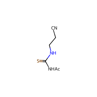 CC(=O)NC(=S)NCCC#N